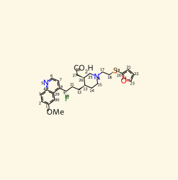 COc1ccc2nccc([C@@H](F)CC[C@@H]3CCN(CCSc4ccco4)C[C@@H]3CC(=O)O)c2c1